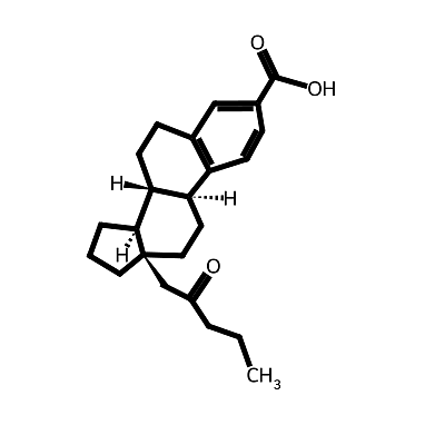 CCCC(=O)C[C@@]12CCC[C@H]1[C@@H]1CCc3cc(C(=O)O)ccc3[C@H]1CC2